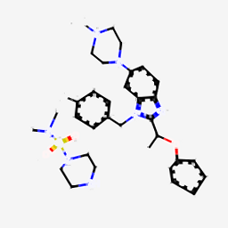 CC(Oc1ccccc1)c1nc2ccc(N3CCN(S(=O)(=O)O)CC3)cc2n1Cc1ccc(C(F)(F)F)cc1.CN(C)S(=O)(=O)N1CCNCC1